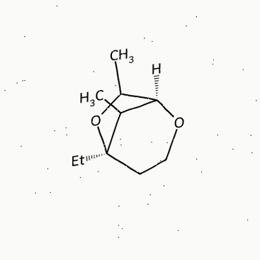 CC[C@]12CCO[C@H](C(C)O1)C2C